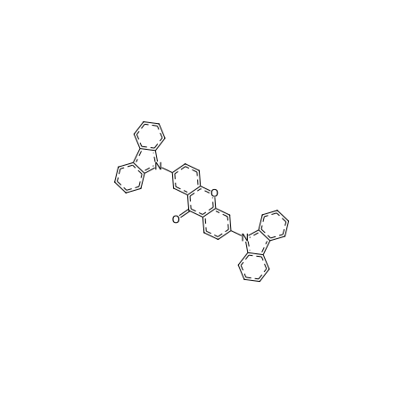 O=c1c2ccc(-n3c4ccccc4c4ccccc43)cc2oc2ccc(-n3c4ccccc4c4ccccc43)cc12